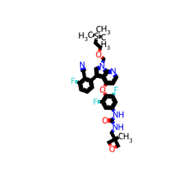 CC1(CNC(=O)Nc2cc(F)c(Oc3ccnc4c3c(-c3cccc(F)c3C#N)cn4COCC[Si](C)(C)C)c(F)c2)COC1